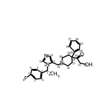 C[C@H](c1ccc(F)cc1)n1cncc1CN1CCC(C(=O)CO)(c2ccccc2)CC1